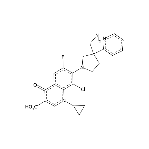 NCC1(c2ccccn2)CCN(c2c(F)cc3c(=O)c(C(=O)O)cn(C4CC4)c3c2Cl)C1